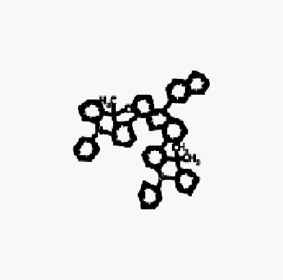 CC1(C)c2ccccc2N(c2ccccc2)c2cccc(-c3cccc4c(-c5ccc6ccccc6c5)c5cccc(-c6cccc7c6C(C)(C)c6ccccc6N7c6ccccc6)c5cc34)c21